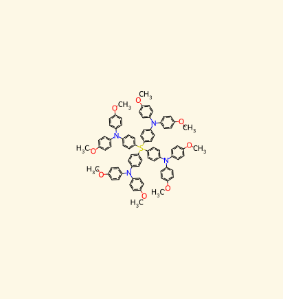 COc1ccc(N(c2ccc(OC)cc2)c2ccc(S(c3ccc(N(c4ccc(OC)cc4)c4ccc(OC)cc4)cc3)(c3ccc(N(c4ccc(OC)cc4)c4ccc(OC)cc4)cc3)c3ccc(N(c4ccc(OC)cc4)c4ccc(OC)cc4)cc3)cc2)cc1